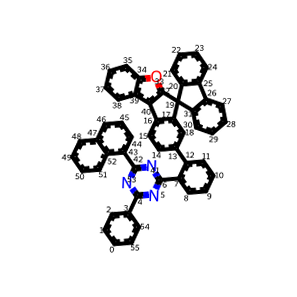 c1ccc(-c2nc(-c3ccccc3-c3ccc4c(c3)C3(c5ccccc5-c5ccccc53)c3oc5ccccc5c3-4)nc(-c3cccc4ccccc34)n2)cc1